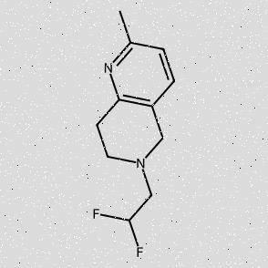 Cc1ccc2c(n1)CCN(CC(F)F)C2